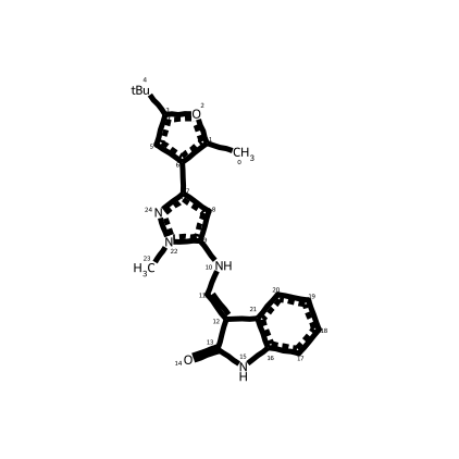 Cc1oc(C(C)(C)C)cc1-c1cc(N/C=C2/C(=O)Nc3ccccc32)n(C)n1